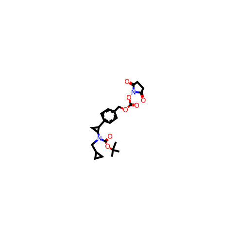 CC(C)(C)OC(=O)N(CC1CC1)C1CC1c1ccc(COC(=O)ON2C(=O)CCC2=O)cc1